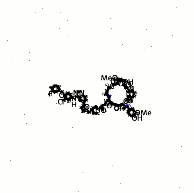 CO[C@H]1C[C@@H](C)[C@@]2(O)O[C@@H]1[C@@H](O)C[C@@H](C)C/C(C)=C/[C@@H](CCCC(=O)N1CCN(Cc3ccc(-c4ccc5ncnc(Nc6ccc(OCc7cccc(F)c7)c(Cl)c6)c5c4)o3)CC1)C(=O)C[C@H](O)[C@@H](C)[C@@H](/C(C)=C/[C@@H]1CC[C@@H](O)[C@H](OC)C1)OC(=O)[C@@H]1CCCCN1C(=O)C2=O